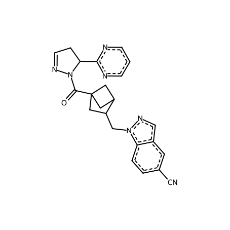 N#Cc1ccc2c(cnn2CC2CC3(C(=O)N4N=CCC4c4ncccn4)CC2C3)c1